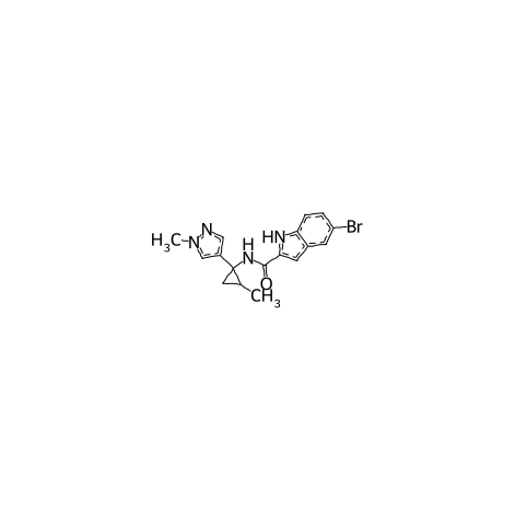 CC1CC1(NC(=O)c1cc2cc(Br)ccc2[nH]1)c1cnn(C)c1